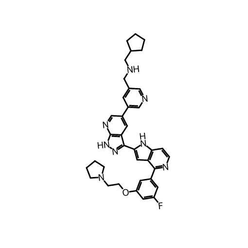 Fc1cc(OCCN2CCCC2)cc(-c2nccc3[nH]c(-c4n[nH]c5ncc(-c6cncc(CNCC7CCCC7)c6)cc45)cc23)c1